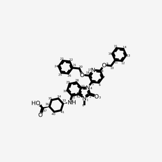 Cn1c(=O)n(-c2ccc(OCc3ccccc3)nc2OCc2ccccc2)c2cccc(N[C@H]3CC[C@H](C(=O)O)CC3)c21